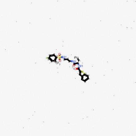 CC(C)C[C@H](NC(=O)c1cc2ccccc2s1)C(=O)NCCCNS(=O)(=O)c1ccc(F)cc1C(F)(F)F